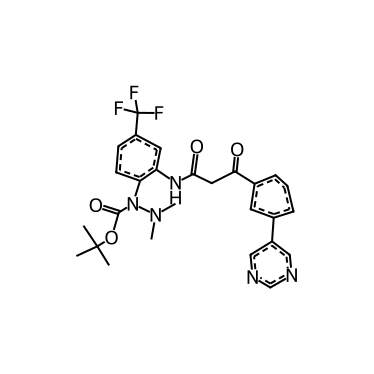 CN(C)N(C(=O)OC(C)(C)C)c1ccc(C(F)(F)F)cc1NC(=O)CC(=O)c1cccc(-c2cncnc2)c1